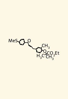 CCOC(=O)C(C)(C)Oc1ccc(C/C=C/C(=O)c2ccc(SC)cc2)cc1C